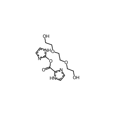 O=C(Oc1ncc[nH]1)c1ncc[nH]1.OCCOCCOCCO